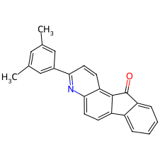 Cc1cc(C)cc(-c2ccc3c4c(ccc3n2)-c2ccccc2C4=O)c1